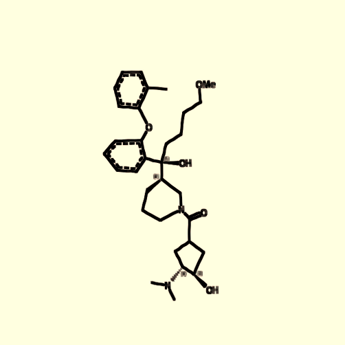 COCCCC[C@@](O)(c1ccccc1Oc1ccccc1C)[C@@H]1CCCN(C(=O)C2C[C@@H](O)[C@H](N(C)C)C2)C1